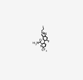 NC(=O)c1nc(C(F)(F)F)ccc1-c1cc2cn(CCI)nc2cc1F